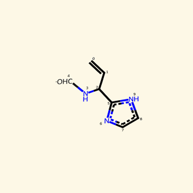 C=CC(N[C]=O)c1ncc[nH]1